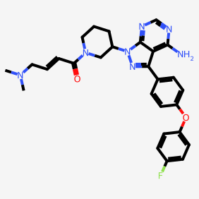 CN(C)CC=CC(=O)N1CCCC(n2nc(-c3ccc(Oc4ccc(F)cc4)cc3)c3c(N)ncnc32)C1